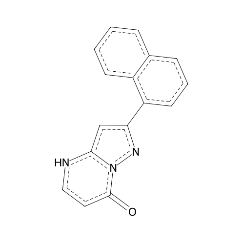 O=c1cc[nH]c2cc(-c3cccc4ccccc34)nn12